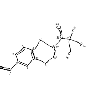 O=Cc1ccc2c(c1)CCN(C(=O)C(F)(F)F)C2